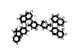 CC1(C)c2ccccc2-c2ccc(N(c3ccc(-c4ccc(N(c5ccc6ccccc6c5)c5cccc6ccccc56)nc4)cc3)c3cccc4ccccc34)cc21